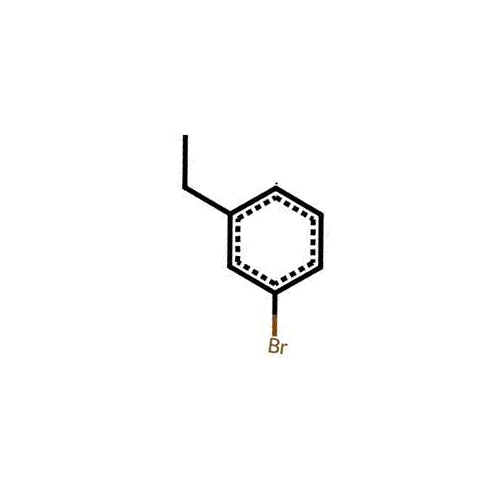 CCc1[c]ccc(Br)c1